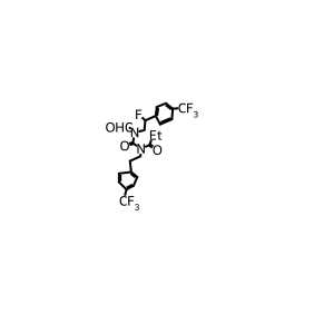 CCC(=O)N(CCc1ccc(C(F)(F)F)cc1)C(=O)N(C=O)CC(F)c1ccc(C(F)(F)F)cc1